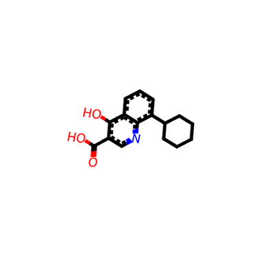 O=C(O)c1cnc2c(C3CCCCC3)cccc2c1O